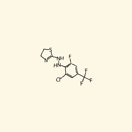 Fc1cc(C(F)(F)F)cc(Cl)c1NNC1=NCCS1